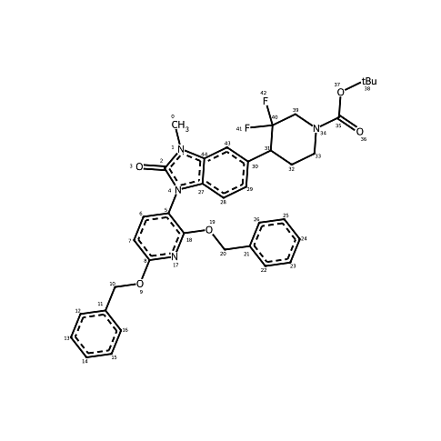 Cn1c(=O)n(-c2ccc(OCc3ccccc3)nc2OCc2ccccc2)c2ccc(C3CCN(C(=O)OC(C)(C)C)CC3(F)F)cc21